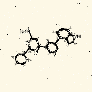 CNc1cc(-c2cncc(-c3cccc4[nH]ccc34)c2)nc(-c2ccccn2)n1